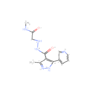 CNC(=O)CNNC(=O)c1c(C)n[nH]c1-c1cccnc1